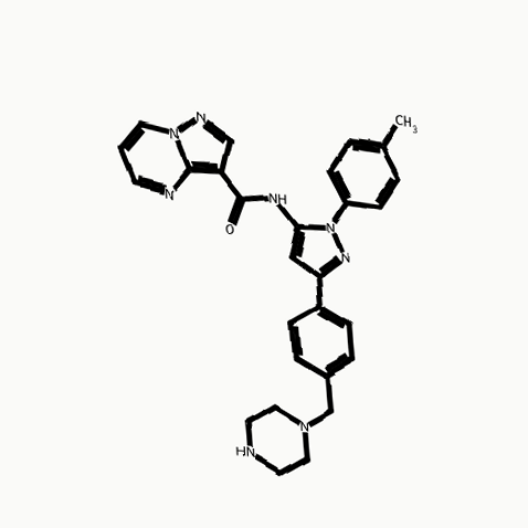 Cc1ccc(-n2nc(-c3ccc(CN4CCNCC4)cc3)cc2NC(=O)c2cnn3cccnc23)cc1